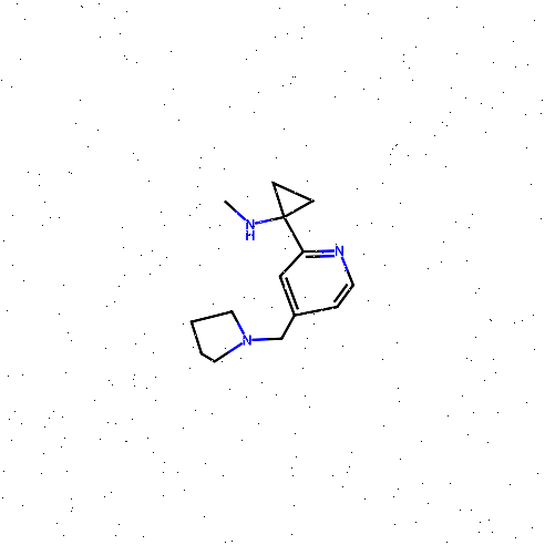 CNC1(c2cc(CN3CCCC3)ccn2)CC1